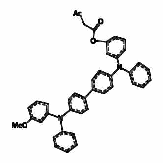 COc1cccc(N(c2ccccc2)c2ccc(-c3ccc(N(c4ccccc4)c4cccc(OC(=O)CC(C)=O)c4)cc3)cc2)c1